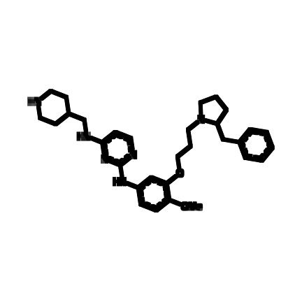 COc1ccc(Nc2nccc(NCC3CCNCC3)n2)cc1OCCCN1CCCC1Cc1ccccc1